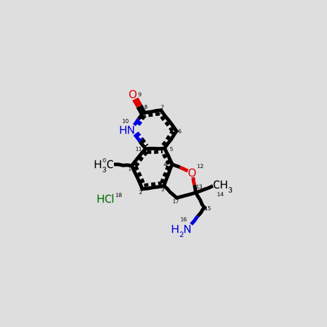 Cc1cc2c(c3ccc(=O)[nH]c13)OC(C)(CN)C2.Cl